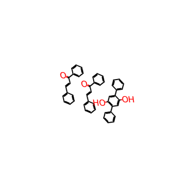 O=C(/C=C/c1ccccc1)c1ccccc1.O=C(/C=C/c1ccccc1)c1ccccc1.Oc1cc(-c2ccccc2)c(O)cc1-c1ccccc1